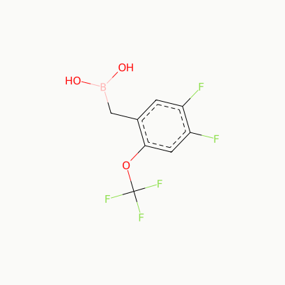 OB(O)Cc1cc(F)c(F)cc1OC(F)(F)F